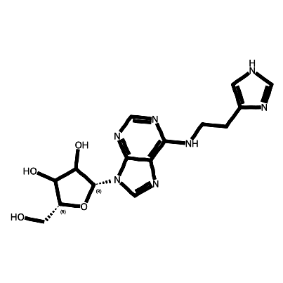 OC[C@H]1O[C@@H](n2cnc3c(NCCc4c[nH]cn4)ncnc32)C(O)C1O